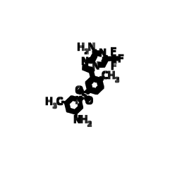 Cc1ccc(S(=O)(=O)N2C[C@@H](C)C[C@@H](N)C2)cc1-c1cnc2c(N)nc(C(F)(F)F)cn12